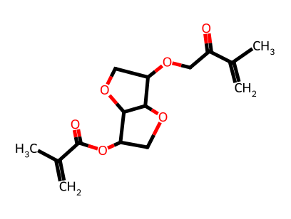 C=C(C)C(=O)COC1COC2C(OC(=O)C(=C)C)COC12